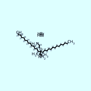 Br.Br.CCCCCCCCCCCCCCC(CCCCCCCCCCCCCC)(OCCN)C(C)(C)N